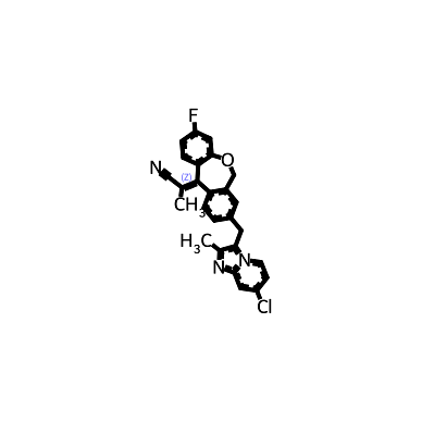 C/C(C#N)=C1\c2ccc(Cc3c(C)nc4cc(Cl)ccn34)cc2COc2cc(F)ccc21